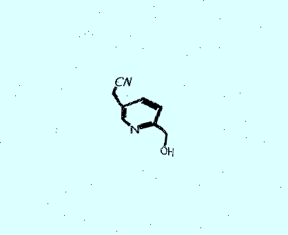 N#CCc1ccc(CO)nc1